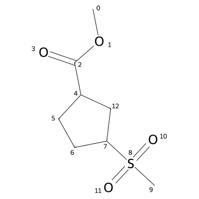 COC(=O)C1CCC(S(C)(=O)=O)C1